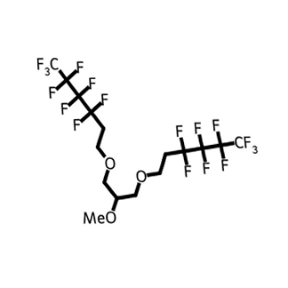 COC(COCCC(F)(F)C(F)(F)C(F)(F)C(F)(F)F)COCCC(F)(F)C(F)(F)C(F)(F)C(F)(F)F